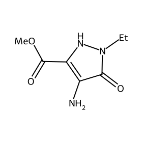 CCn1[nH]c(C(=O)OC)c(N)c1=O